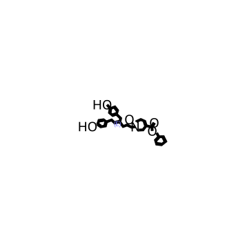 O=C(C/C(=C/Cc1ccc(O)cc1)Cc1ccc(O)cc1)CN1CCC=C(C(=O)OCc2ccccc2)CC1